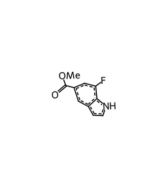 COC(=O)c1cc(F)c2[nH]ccc2c1